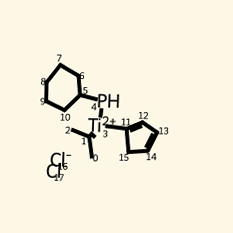 C[C](C)=[Ti+2]([PH]C1CCCCC1)[C]1=CC=CC1.[Cl-].[Cl-]